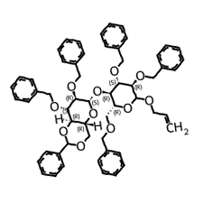 C=CCOC1O[C@H](COCc2ccccc2)[C@@H](O[C@@H]2O[C@@H]3COC(c4ccccc4)O[C@H]3[C@H](OCc3ccccc3)[C@H]2OCc2ccccc2)[C@H](OCc2ccccc2)[C@H]1OCc1ccccc1